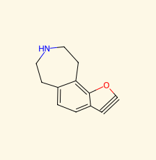 c1oc2c3c(ccc2c#1)CCNCC3